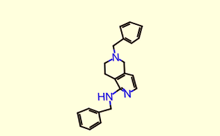 c1ccc(CNc2nccc3c2CCN(Cc2ccccc2)C3)cc1